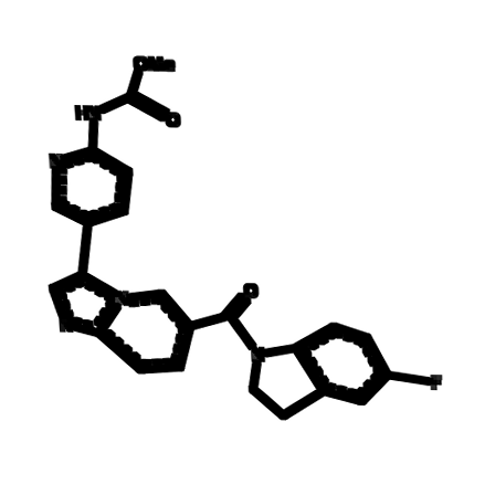 COC(=O)Nc1ccc(-c2cnc3ccc(C(=O)N4CCc5cc(F)ccc54)cn23)cn1